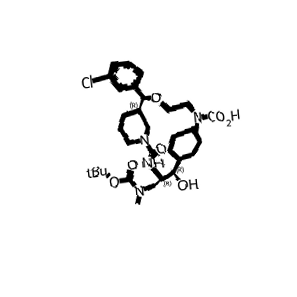 CN(CCOC(c1cccc(Cl)c1)[C@@H]1CCCN(C(=O)N[C@H](CN(C)C(=O)OC(C)(C)C)[C@H](O)C2CCCCC2)C1)C(=O)O